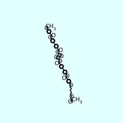 COc1ccc(C(=O)Oc2ccc(-c3ccc(C(=O)OC4COC5C(OC(=O)c6ccc(-c7ccc(OC(=O)c8ccc(OCCCCCOCC9(C)CO9)cc8)cc7)cc6)COC45)cc3)cc2)cc1